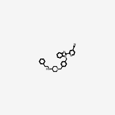 N#Cc1ccnc(-c2nc3ccccc3n2Cc2ccc(CN3CCC(NCCc4ccccc4)CC3)cc2)c1